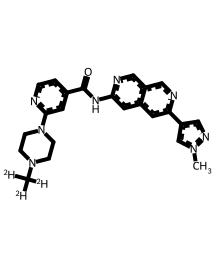 [2H]C([2H])([2H])N1CCN(c2cc(C(=O)Nc3cc4cc(-c5cnn(C)c5)ncc4cn3)ccn2)CC1